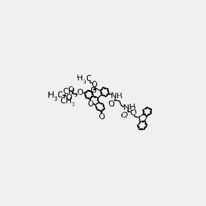 CCOC(=O)c1ccc(NC(=O)CCNC(=O)OCC2c3ccccc3-c3ccccc32)cc1-c1c2ccc(=O)cc-2oc2cc(OCC(=O)OC(C)(C)C)ccc12